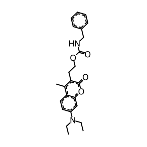 CCN(CC)c1ccc2c(C)c(CCOC(=O)NCc3ccccc3)c(=O)oc2c1